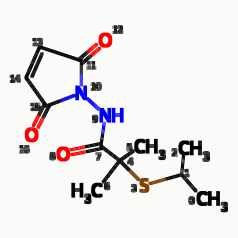 CC(C)SC(C)(C)C(=O)NN1C(=O)C=CC1=O